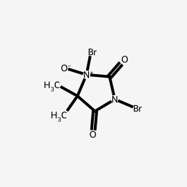 CC1(C)C(=O)N(Br)C(=O)[N+]1([O-])Br